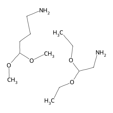 CCOC(CN)OCC.COC(CCCN)OC